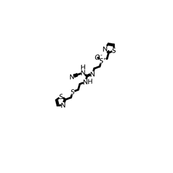 N#CN/C(=N\CC[S+]([O-])Cc1nccs1)NCCSCc1nccs1